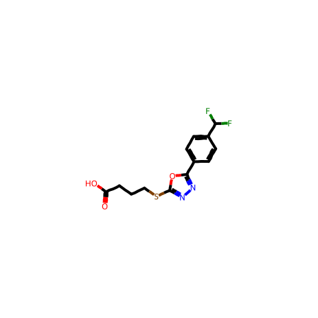 O=C(O)CCCSc1nnc(-c2ccc(C(F)F)cc2)o1